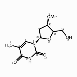 CO[C@@H]1C[C@H](n2cc(C)c(=O)[nH]c2=O)OC1CO